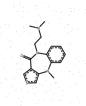 CN(C)CCN1C(=O)c2cscc2N(C)c2ccccc21